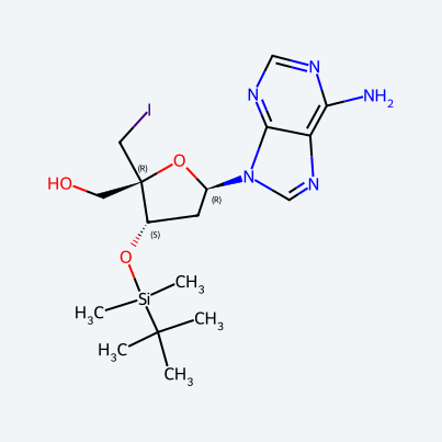 CC(C)(C)[Si](C)(C)O[C@H]1C[C@H](n2cnc3c(N)ncnc32)O[C@@]1(CO)CI